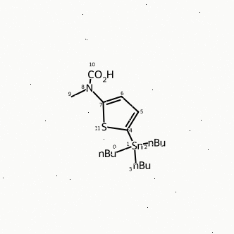 CCC[CH2][Sn]([CH2]CCC)([CH2]CCC)[c]1ccc(N(C)C(=O)O)s1